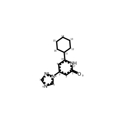 O=c1cc(-n2cncn2)cc(C2CCCCC2)[nH]1